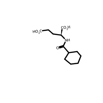 O=C(O)CC[C@H](NC(=O)C1CCCCC1)C(=O)O